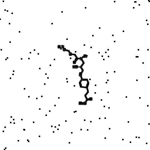 COC(=O)CCc1ccc(OCC(O)CN(C(=O)COCO[N+](=O)[O-])C(C)C)cc1